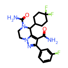 NC(=O)c1c(-c2cccc(F)c2)nn2c1C(C1CCC(F)(F)CC1)N(C(N)=O)CC2